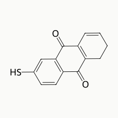 O=C1C2=C(CCC=C2)C(=O)c2ccc(S)cc21